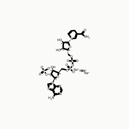 NC(=O)C1=CN([C@@H]2O[C@H](COP(=O)([O-])OP(=O)([O-])OC[C@H]3O[C@@H](n4cnc5c(N)ncnc54)[C@H](OP(=O)([O-])[O-])[C@@H]3O)[C@@H](O)[C@H]2O)C=CC1.[Na+].[Na+].[Na+].[Na+]